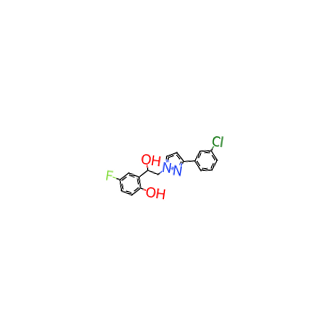 Oc1ccc(F)cc1C(O)Cn1ccc(-c2cccc(Cl)c2)n1